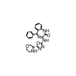 O=C1Nc2ccccc2C(c2ccccc2)=N[C@@H]1Nc1nnc([C@H]2COCCN2)o1